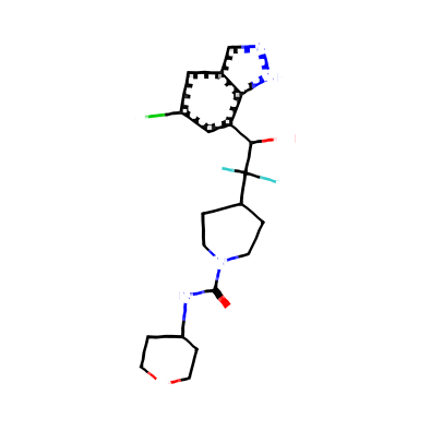 O=C(NC1CCOCC1)N1CCC(C(F)(F)C(O)c2cc(Cl)cc3cn[nH]c23)CC1